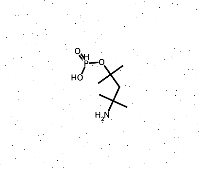 CC(C)(N)CC(C)(C)O[PH](=O)O